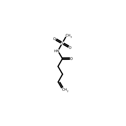 C=CCCC(=O)NS(C)(=O)=O